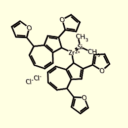 C[Si](C)=[Zr+2]([CH]1C(c2ccco2)=CC2=C1C=CC=CC2c1ccco1)[CH]1C(c2ccco2)=CC2=C1C=CC=CC2c1ccco1.[Cl-].[Cl-]